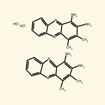 Cc1c(N)c(N)c2nc3ccccc3nc2c1C.Cc1c(N)c(N)c2nc3ccccc3nc2c1C.Cl.Cl